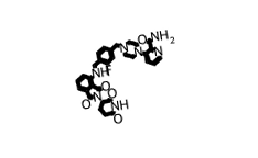 NC(=O)c1ncccc1N1CCN(Cc2ccc(CNc3cccc4c3C(=O)N(C3CCC(=O)NC3=O)C4=O)c(F)c2)CC1